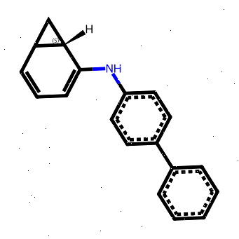 C1=CC2C[C@@H]2C(Nc2ccc(-c3ccccc3)cc2)=C1